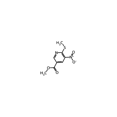 COC(=O)c1cnc(SC)c([N+](=O)[O-])c1